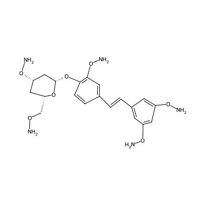 NOC[C@@H]1C[C@H](ON)C[C@H](Oc2ccc(/C=C/c3cc(ON)cc(ON)c3)cc2ON)O1